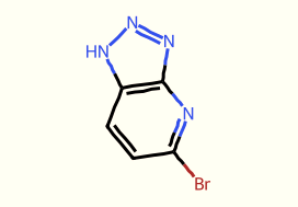 Brc1ccc2[nH]nnc2n1